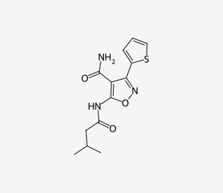 CC(C)CC(=O)Nc1onc(-c2cccs2)c1C(N)=O